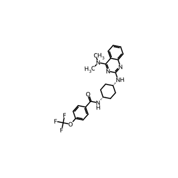 CN(C)c1nc(N[C@H]2CC[C@@H](NC(=O)c3ccc(OC(F)(F)F)cc3)CC2)nc2ccccc12